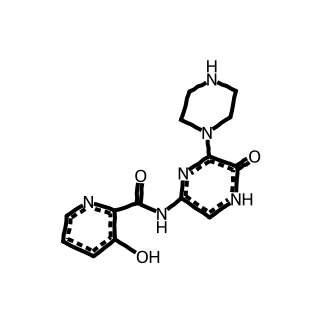 O=C(Nc1c[nH]c(=O)c(N2CCNCC2)n1)c1ncccc1O